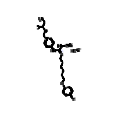 Cl.N#CN/C(=N/CCCCCCOc1ccc(Cl)cc1)Nc1cc[n+](COC(=O)CN)cc1.[Cl-]